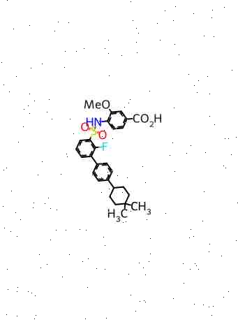 COc1cc(C(=O)O)ccc1NS(=O)(=O)c1cccc(-c2ccc(C3CCC(C)(C)CC3)cc2)c1F